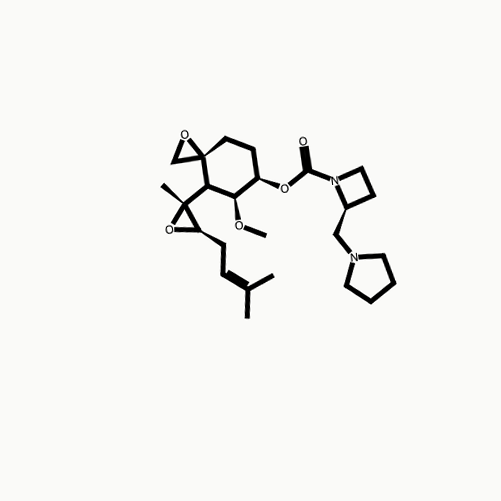 CO[C@H]1C([C@@]2(C)O[C@@H]2CC=C(C)C)[C@]2(CC[C@H]1OC(=O)N1CC[C@H]1CN1CCCC1)CO2